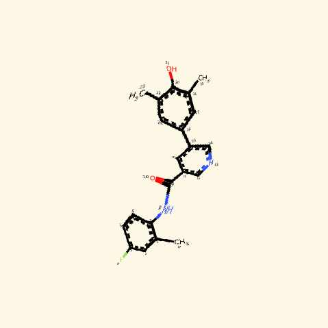 Cc1cc(F)ccc1NC(=O)c1cncc(-c2cc(C)c(O)c(C)c2)c1